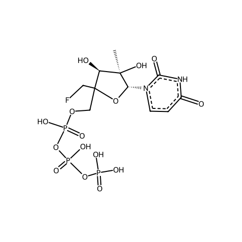 C[C@@]1(O)[C@H](O)C(CF)(COP(=O)(O)OP(=O)(O)OP(=O)(O)O)O[C@H]1n1ccc(=O)[nH]c1=O